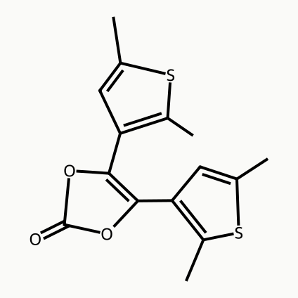 Cc1cc(-c2oc(=O)oc2-c2cc(C)sc2C)c(C)s1